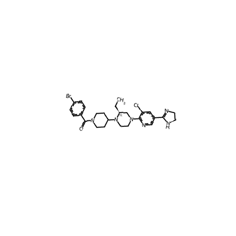 CC[C@H]1CN(c2ncc(C3=NCCN3)cc2Cl)CCN1C1CCN(C(=O)c2ccc(Br)cc2)CC1